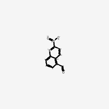 O=[C]c1cccc2nc([N+](=O)[O-])ccc12